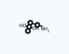 NCc1ccc(-c2cccc3c(O)c4ccccc4c(O)c23)cc1